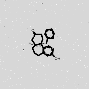 O=C1CC[C@@]2(Cc3ccccc3)c3ccc(O)cc3CCC[C@H]2C1